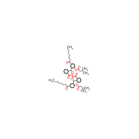 CCCCCCCC(=O)c1ccc(OC(=O)CC(C)C)c(C(=O)c2ccccc2C(=O)OOC(=O)c2ccccc2C(=O)c2cc(C(=O)CCCCCCC)ccc2OC(=O)CC(C)C)c1